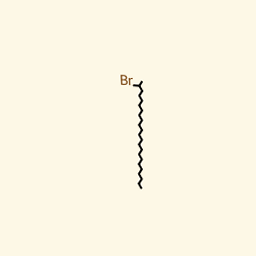 CCCCCCCCCCCCCCCCCCCCCC(C)CBr